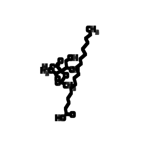 CC(=O)OC(C(C)=O)(C(C)=O)C(O)CO.CCCCCCCCCCCCCCCCCC(=O)O